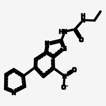 CCNC(=O)Nc1nc2cc(-c3cccnc3)cc([N+](=O)[O-])c2s1